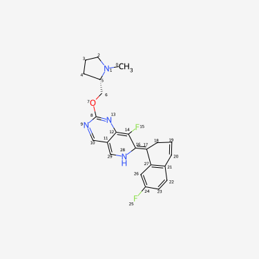 CN1CCC[C@H]1COc1ncc2c(n1)=C(F)C(=C1CC=Cc3ccc(F)cc31)NC=2